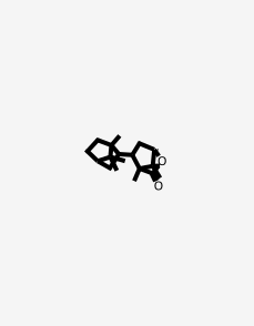 CC1(C)[C]2CC(C3CC4CCC3(C)C4(C)C)C1(C)C(=O)O2